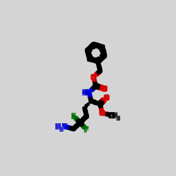 COC(=O)[C@H](CCC(F)(F)CN)NC(=O)OCc1ccccc1